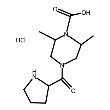 CC1CN(C(=O)C2CCCN2)CC(C)N1C(=O)O.Cl